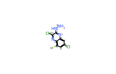 NNc1nc2cc(Cl)cc(F)c2nc1Cl